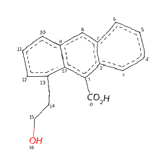 O=C(O)c1c2ccccc2cc2cccc(CCO)c12